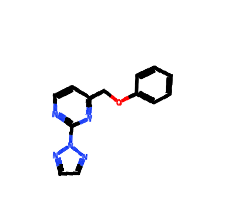 c1ccc(OCc2ccnc(-n3nccn3)n2)cc1